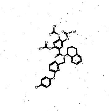 O=C(O)Oc1cc(OC(=O)O)c(C(=O)N(Cc2cccc(Sc3ccc(Cl)cc3)c2)[C@H]2CCCc3ccccc32)cc1OC(=O)O